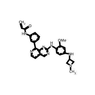 C=CC(=O)Nc1cccc(-c2nccc3cnc(Nc4ccc(NC5CN(C)C5)cc4OC)nc23)c1